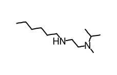 CCCCCCNCCN(C)C(C)C